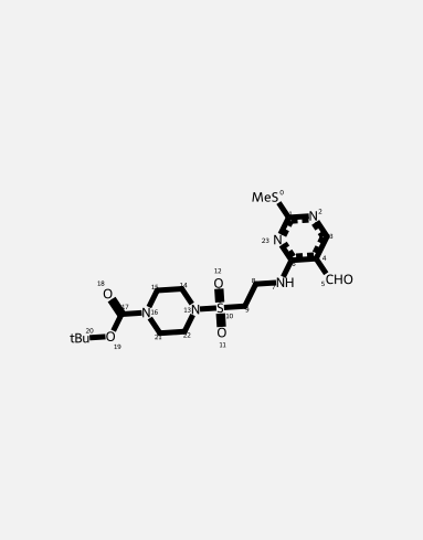 CSc1ncc(C=O)c(NCCS(=O)(=O)N2CCN(C(=O)OC(C)(C)C)CC2)n1